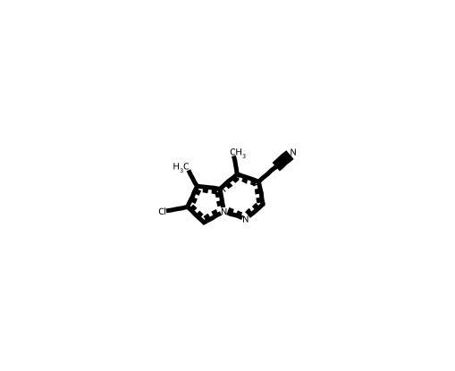 Cc1c(Cl)cn2ncc(C#N)c(C)c12